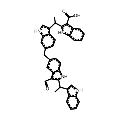 CC(c1[nH]c2ccc(Cc3ccc4c(C(C)c5[nH]c6ccccc6c5C(=O)O)c[nH]c4c3)cc2c1C=O)c1c[nH]c2ccccc12